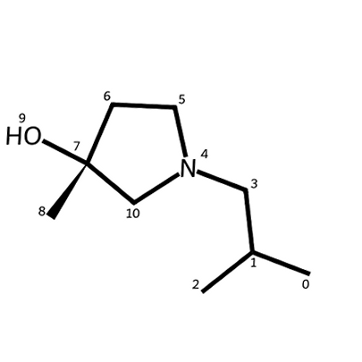 CC(C)CN1CC[C@@](C)(O)C1